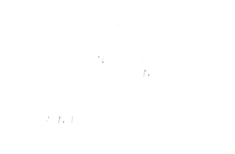 CC(=O)Nc1ccc(-c2cc(C(=O)N3CCOCC3)c3ccccc3n2)cc1